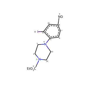 CCOC(=O)N1CCN(c2ccc(N=O)cc2I)CC1